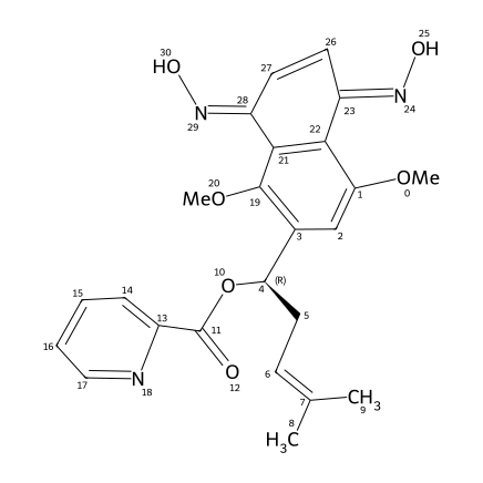 COc1cc([C@@H](CC=C(C)C)OC(=O)c2ccccn2)c(OC)c2c1C(=NO)C=CC2=NO